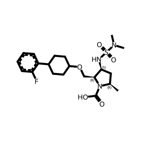 C[C@@H]1C[C@H](NS(=O)(=O)N(C)C)[C@H](COC2CCC(c3ccccc3F)CC2)N1C(=O)O